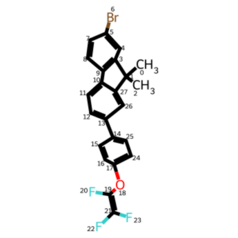 CC1(C)c2cc(Br)ccc2-c2ccc(-c3ccc(OC(F)=C(F)F)cc3)cc21